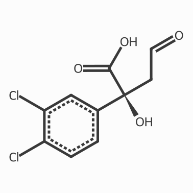 O=CC[C@@](O)(C(=O)O)c1ccc(Cl)c(Cl)c1